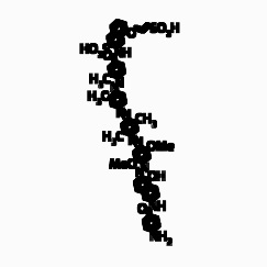 COc1cc(N=Nc2ccc3cc(NC(=O)c4ccc(N)cc4)ccc3c2O)c(OC)cc1N=Nc1cc(C)c(N=Nc2ccc(N=Nc3ccc(C(=O)Nc4cc5c(OCCCS(=O)(=O)O)cccc5cc4S(=O)(=O)O)cc3C)c(C)c2)cc1C